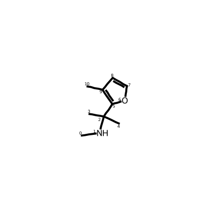 CNC(C)(C)c1occc1C